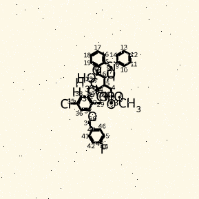 COP(=O)(CC(C(O[SiH](c1ccccc1)c1ccccc1)C(=O)O)C(C)(C)C)OCc1c(Cl)cc(Cl)cc1OCc1ccc(F)cc1